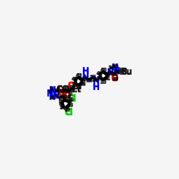 CCOC(=O)c1nnnn1C[C@@]1(c2ccc(Cl)cc2Cl)OC[C@@H](COc2ccc(NCCNc3ccc(-n4cnn(C(C)CC)c4=O)cc3)cc2)O1